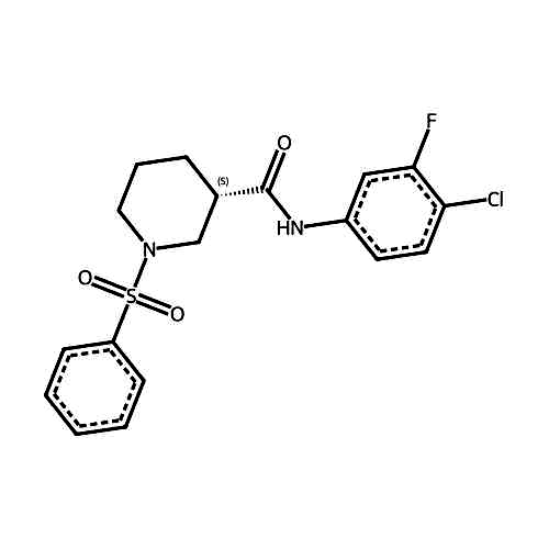 O=C(Nc1ccc(Cl)c(F)c1)[C@H]1CCCN(S(=O)(=O)c2ccccc2)C1